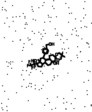 CC1(C)COC2(CCC3=C4C(c5ccc(CO)cc5)CC5(C)C(CC[C@@]5(O)C(F)(F)C(F)(F)F)C4CC[C@@]3(O)C2)OC1